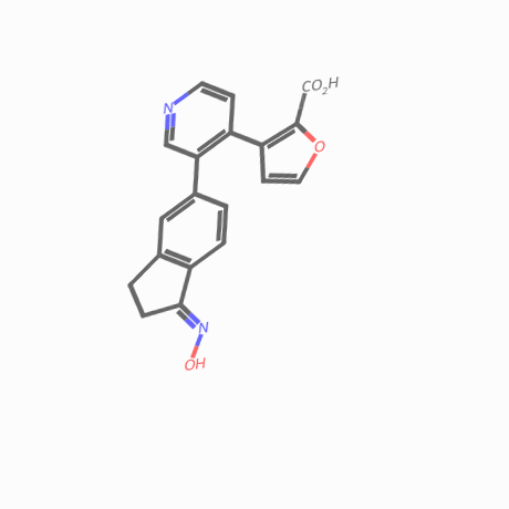 O=C(O)c1occc1-c1ccncc1-c1ccc2c(c1)CCC2=NO